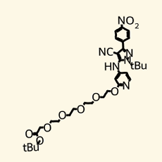 CC(C)(C)OC(=O)COCCOCCOCCOCCOc1cc(Nc2c(C#N)c(-c3ccc([N+](=O)[O-])cc3)nn2C(C)(C)C)ccn1